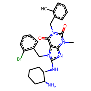 Cn1c(=O)n(Cc2ccccc2C#N)c(=O)c2c1nc(N[C@@H]1CCCC[C@@H]1N)n2Cc1ccccc1Br